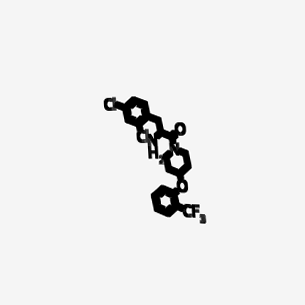 NC(Cc1ccc(Cl)cc1Cl)C(=O)N1CCC(Oc2ccccc2C(F)(F)F)CC1